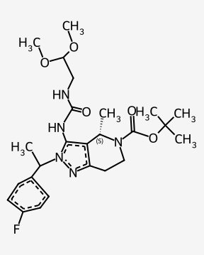 COC(CNC(=O)Nc1c2c(nn1C(C)c1ccc(F)cc1)CCN(C(=O)OC(C)(C)C)[C@H]2C)OC